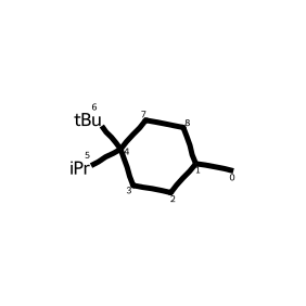 CC1CCC(C(C)C)(C(C)(C)C)CC1